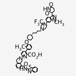 Cc1c(O[C@H]2CC[C@H](CCCCN3CCN(c4ccc5c(C6CCC(=O)NC6=O)nn(C)c5c4)[C@H](C(F)(F)F)C3)CC2)cccc1-c1ccc(N2CCc3cccc(C(=O)Nc4nc5ccccc5s4)c3C2)nc1C(=O)O